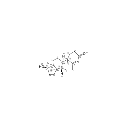 CC12CC[C@@H]3[C@H](CCC4=CC(=O)CC[C@]43C)[C@H]1CC[C@H]2O